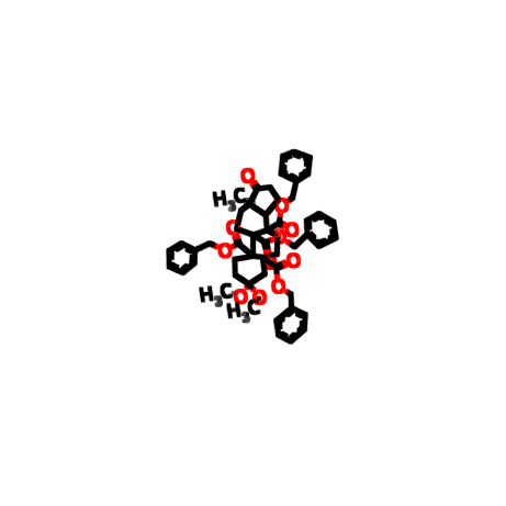 COC1(OC)CCC2(C(=O)OCc3ccccc3)C(C(=O)OCc3ccccc3)(CCC3(C(=O)OCc4ccccc4)C4CCC(=O)[C@@]4(C)CCC32C(=O)OCc2ccccc2)C1